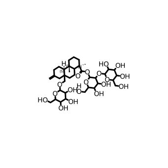 C=C1CC[C@@H]2C(COC3OC(CO)C(O)C(O)C3O)(CCC3[C@](C)(C(=O)OC4OC(CO)C(O)C(O)C4OC4OC(CO)C(O)C(O)C4O)CCC[C@]32C)C1